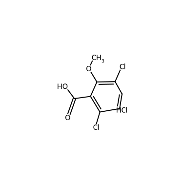 COc1c(Cl)ccc(Cl)c1C(=O)O.Cl